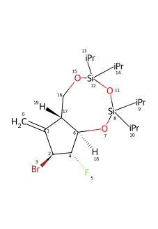 C=C1[C@H](Br)[C@@H](F)[C@@H]2O[Si](C(C)C)(C(C)C)O[Si](C(C)C)(C(C)C)OC[C@@H]12